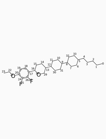 CCCCCC1CCC(C2CCC(C3CCC(c4ccc(OCC)c(F)c4F)OC3)CC2)CC1